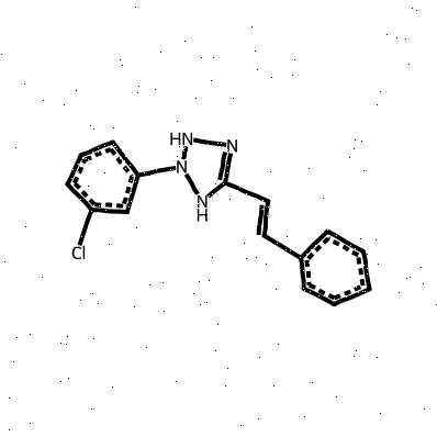 Clc1cccc(N2NN=C(C=Cc3ccccc3)N2)c1